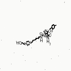 Cc1ccc(COc2nsc(NC(=O)NCCCCCCN3CCN(CCO)CC3)c2C(N)=O)c(F)c1